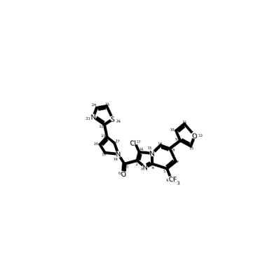 O=C(c1nc2c(C(F)(F)F)cc(-c3ccoc3)cn2c1Cl)N1CC=C(c2nccs2)C1